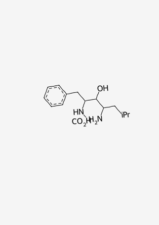 CC(C)CC(N)C(O)C(Cc1ccccc1)NC(=O)O